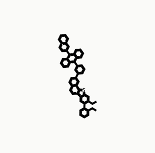 CCc1ccccc1-c1cc2c(cc1CC)sc1c3cc(-c4cccc(-c5c6ccccc6c(-c6ccc7ccccc7c6)c6ccccc56)c4)ccc3ccc21